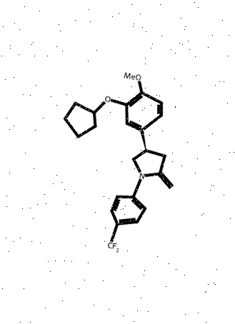 C=C1C[C@H](c2ccc(OC)c(OC3CCCC3)c2)CN1c1ccc(C(F)(F)F)cc1